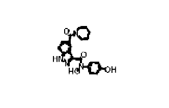 O=C(c1ccc2[nH]nc(C(=O)N(O)c3ccc(O)cc3)c2c1)N1CCCCC1